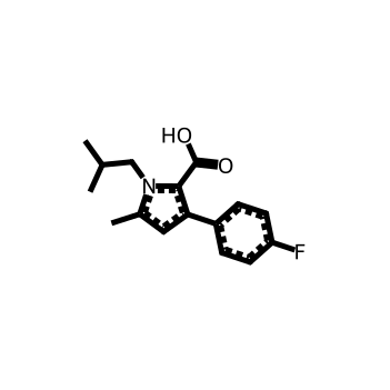 Cc1cc(-c2ccc(F)cc2)c(C(=O)O)n1CC(C)C